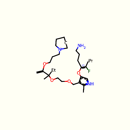 C=C(OCCCN1CCCCC1)C(C)(CC)OCCOCc1c(O/C(CCCN)=C(\F)C(C)C)c[nH]c1C